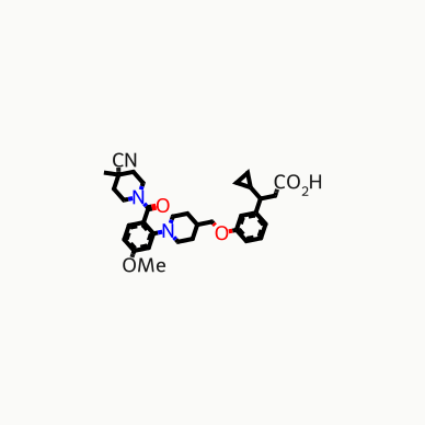 COc1ccc(C(=O)N2CCC(C)(C#N)CC2)c(N2CCC(COc3cccc(C(CC(=O)O)C4CC4)c3)CC2)c1